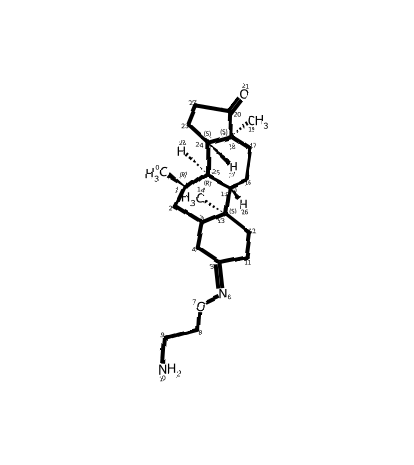 C[C@@H]1CC2CC(=NOCCN)CC[C@]2(C)[C@H]2CC[C@]3(C)C(=O)CC[C@H]3[C@H]12